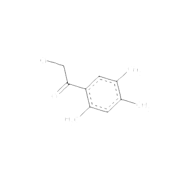 Cc1cc(C)c(C(=O)CCl)cc1C